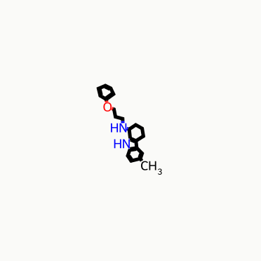 Cc1ccc2[nH]c3c(c2c1)CCCC3NCCCOc1ccccc1